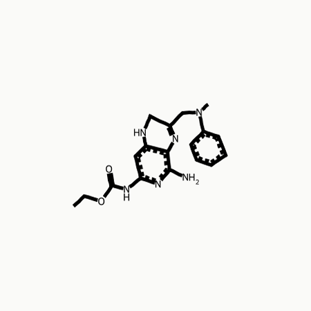 CCOC(=O)Nc1cc2c(c(N)n1)N=C(CN(C)c1ccccc1)CN2